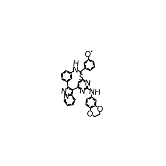 COc1cccc(C(=S)Nc2cccc(-c3nn4ccccc4c3-c3ccnc(Nc4ccc5c(c4)OCCO5)n3)c2)c1